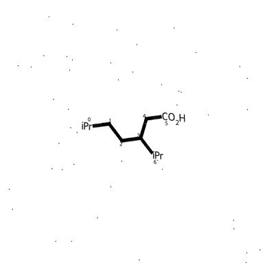 CC(C)CCC(CC(=O)O)C(C)C